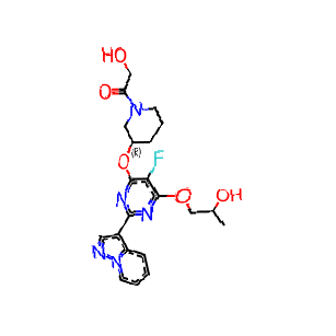 CC(O)COc1nc(-c2cnn3ccccc23)nc(O[C@@H]2CCCN(C(=O)CO)C2)c1F